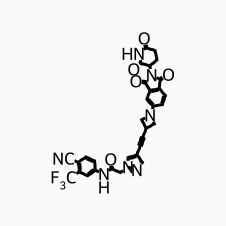 N#Cc1ccc(NC(=O)Cn2cc(C#CC3CN(c4ccc5c(c4)C(=O)N(C4CCC(=O)NC4=O)C5=O)C3)cn2)cc1C(F)(F)F